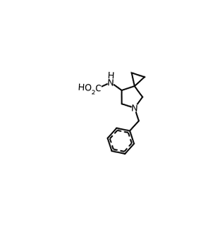 O=C(O)NC1CN(Cc2ccccc2)CC12CC2